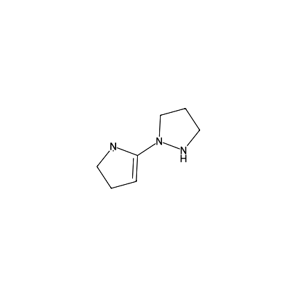 C1=C(N2CCCN2)[N]CC1